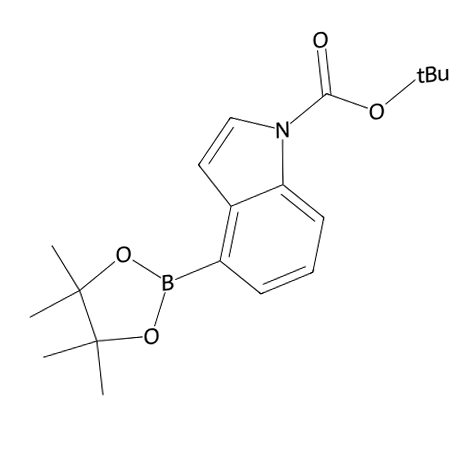 CC(C)(C)OC(=O)n1ccc2c(B3OC(C)(C)C(C)(C)O3)cccc21